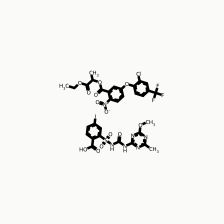 CCOC(=O)C(C)OC(=O)c1cc(Oc2ccc(C(F)(F)F)cc2Cl)ccc1[N+](=O)[O-].COc1nc(C)nc(NC(=O)NS(=O)(=O)c2cc(I)ccc2C(=O)O)n1